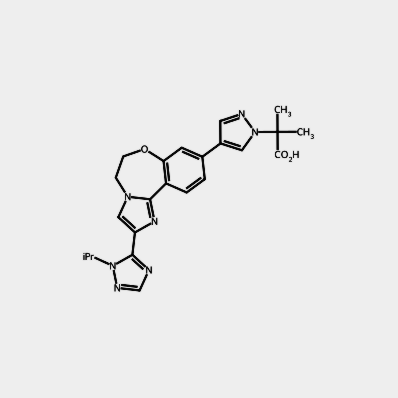 CC(C)n1ncnc1-c1cn2c(n1)-c1ccc(-c3cnn(C(C)(C)C(=O)O)c3)cc1OCC2